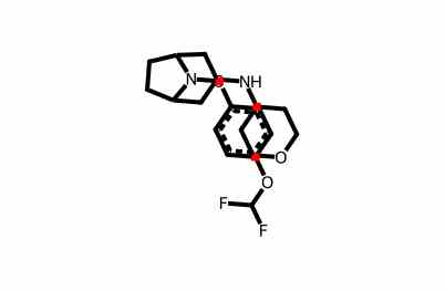 FC(F)Oc1ccc(SN2C3CCC2CC(NC2CCOCC2)C3)cc1